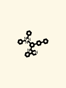 c1ccc(-c2ccc(-c3cc(-c4nc(-c5ccccc5)nc(-c5ccccc5)n4)cc(-c4nc5ccccc5c5ccncc45)c3)cc2)cc1